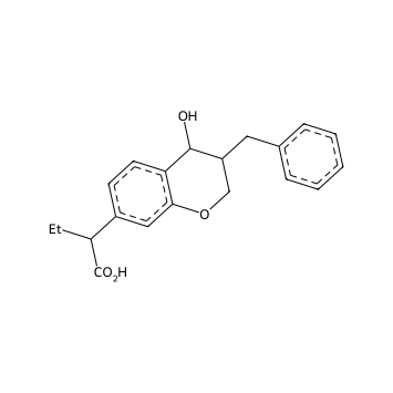 CCC(C(=O)O)c1ccc2c(c1)OCC(Cc1ccccc1)C2O